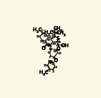 Cc1ccc(OC2CCC(N(C(=O)C3CCC(C)CC3)c3cc(C(C)(C)C)sc3C(=O)O)CC2)nc1